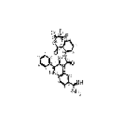 N=C(N)c1ccc(NC(c2ccccc2)c2nn(-c3ccccc3C(=O)OC(=O)C(F)(F)F)c(=O)[nH]2)cc1